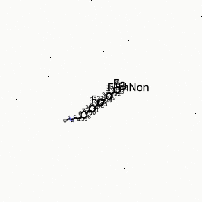 C/C=C/CCC1CCC(C2CCC(c3ccc(-c4ccc(-c5ccc(OCCCCCCCCC)c(F)c5F)cc4)cc3F)CC2)CC1